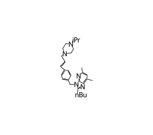 CCCCc1nc2c(C)cc(C)nc2n1Cc1ccc(C=CCN2CCN(C(C)C)CC2)cc1